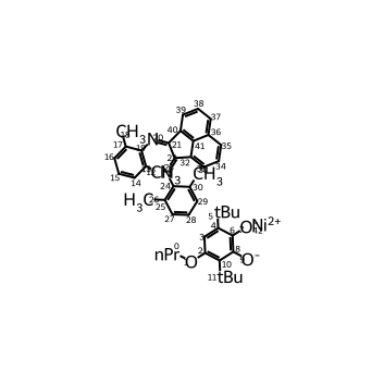 CCCOc1cc(C(C)(C)C)c([O-])c([O-])c1C(C)(C)C.Cc1cccc(C)c1/N=C1\C(=N\c2c(C)cccc2C)c2cccc3cccc1c23.[Ni+2]